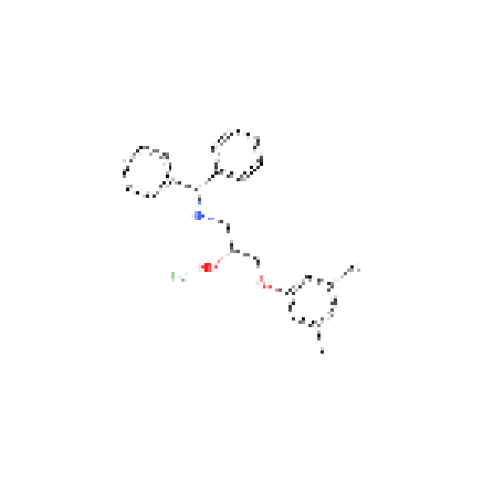 CCc1cc(C)cc(OCC(O)CNC(c2ccccc2)c2ccccc2)c1.Cl